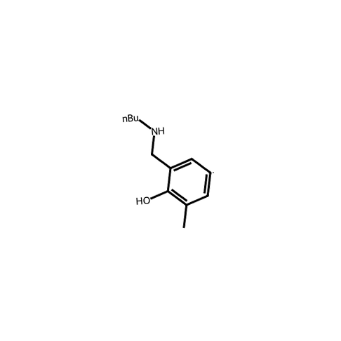 CCCCNCc1c[c]cc(C)c1O